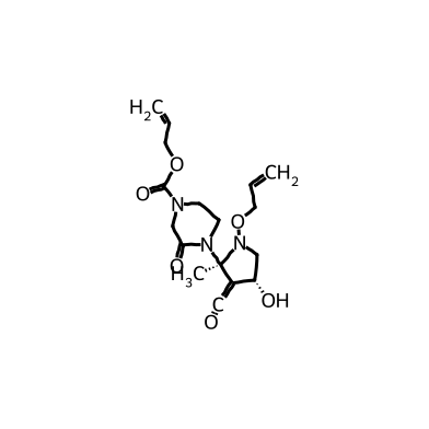 C=CCOC(=O)N1CCN([C@]2(C)C(=C=O)[C@@H](O)CN2OCC=C)C(=O)C1